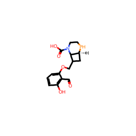 O=Cc1c(O)cccc1OCC1C[C@@H]2PCCN(C(=O)O)C12